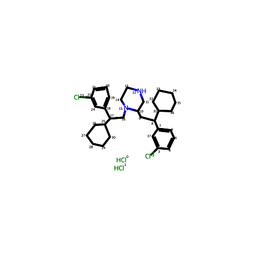 Cl.Cl.Clc1cccc(C(CC2CNCCN2CC(c2cccc(Cl)c2)C2CCCCC2)C2CCCCC2)c1